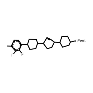 CCCCCC1CCC(C2C=CC(C3CCC(c4ccc(C)c(F)c4F)CC3)CC2)CC1